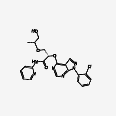 CC(CO)OC[C@H](Oc1ncnc2c1cnn2-c1ccccc1Cl)C(=O)Nc1ccccn1